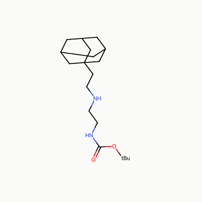 CC(C)(C)OC(=O)NCCNCCC12CC3CC(CC(C3)C1)C2